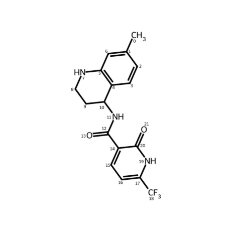 Cc1ccc2c(c1)NCCC2NC(=O)c1ccc(C(F)(F)F)[nH]c1=O